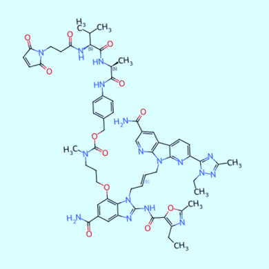 CCc1nc(C)oc1C(=O)Nc1nc2cc(C(N)=O)cc(OCCCN(C)C(=O)OCc3ccc(NC(=O)[C@H](C)NC(=O)[C@@H](NC(=O)CCN4C(=O)C=CC4=O)C(C)C)cc3)c2n1C/C=C/Cn1c2ncc(C(N)=O)cc2c2ccc(-c3nc(C)nn3CC)nc21